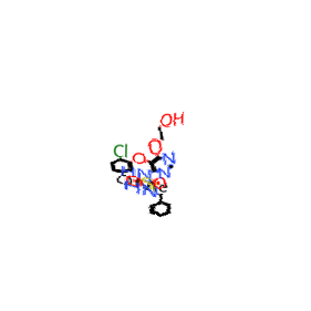 COc1ccc(Cl)c(Oc2c(NS(=O)(=O)NCc3ccccc3)ncnc2OCCO)c1